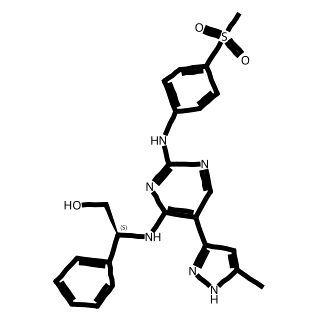 Cc1cc(-c2cnc(Nc3ccc(S(C)(=O)=O)cc3)nc2N[C@H](CO)c2ccccc2)n[nH]1